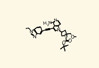 CCn1cnc2cc(C#Cc3cn(C4CC(COC)N(C(=O)OC(C)(C)C)C4)c4ccnc(N)c34)ccc21